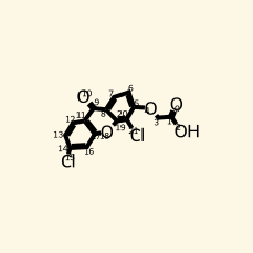 O=C(O)COc1ccc2c(=O)c3ccc(Cl)cc3oc2c1Cl